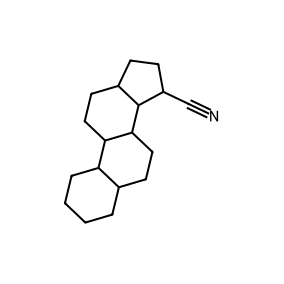 N#CC1CCC2CCC3C4CCCCC4CCC3C12